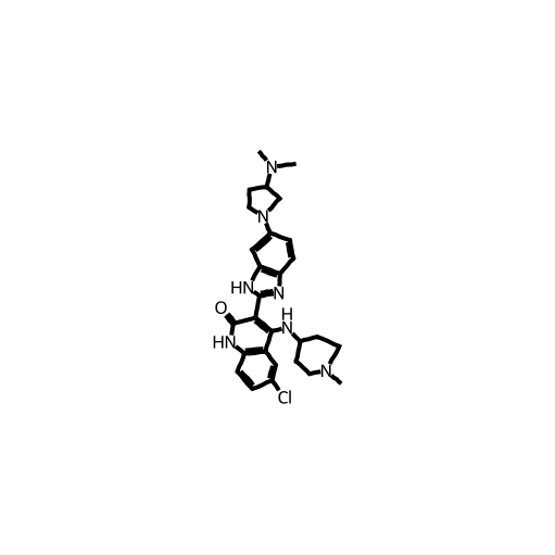 CN1CCC(Nc2c(-c3nc4ccc(N5CCC(N(C)C)C5)cc4[nH]3)c(=O)[nH]c3ccc(Cl)cc23)CC1